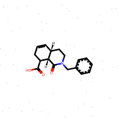 O=C(O)C1CC=C[C@@H]2CCN(Cc3ccccc3)C(=O)[C@H]12